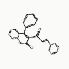 O=C(/C=C/c1cncnc1)c1c(-c2ccccc2)c2cccnc2[nH]c1=O